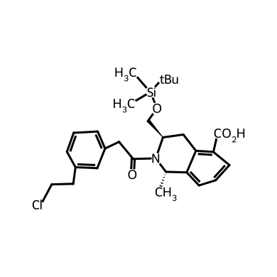 C[C@H]1c2cccc(C(=O)O)c2C[C@H](CO[Si](C)(C)C(C)(C)C)N1C(=O)Cc1cccc(CCCl)c1